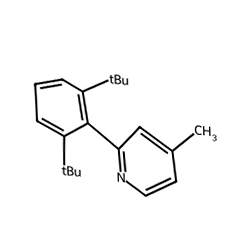 Cc1ccnc(-c2c(C(C)(C)C)cccc2C(C)(C)C)c1